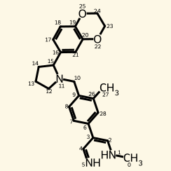 CN/C=C(\C=N)c1ccc(CN2CCCC2c2ccc3c(c2)OCCO3)c(C)c1